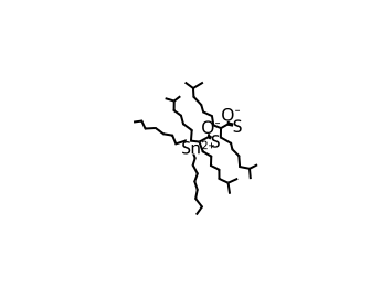 CC(C)CCCCCC(CCCCCC(C)C)C([O-])=S.CC(C)CCCCCC(CCCCCC(C)C)C([O-])=S.CCCCCCC[CH2][Sn+2][CH2]CCCCCCC